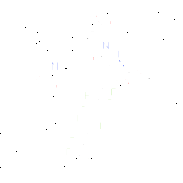 COC(=O)[C@H](CCCCNC(=O)OC(C)(C)C)NC(=O)C(NC(=O)OC(C)(C)C)C(F)(F)C(F)(F)C(F)(F)C(F)(F)C(F)(F)C(F)(F)C(F)(F)C(F)(F)F